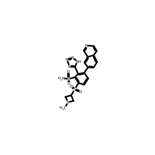 CN1CC(S(=O)(=O)c2ccc(-c3ccc4ccncc4c3)c(-c3nnn[nH]3)c2S(N)(=O)=O)C1